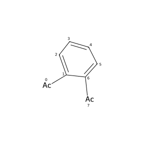 CC(=O)c1ccccc1C(C)=O